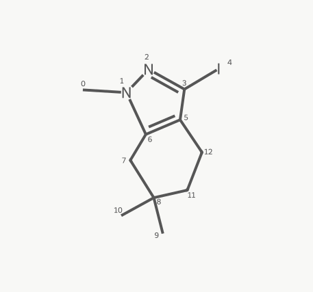 Cn1nc(I)c2c1CC(C)(C)CC2